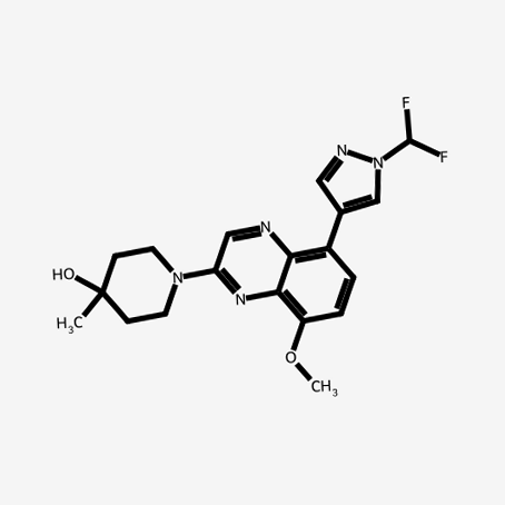 COc1ccc(-c2cnn(C(F)F)c2)c2ncc(N3CCC(C)(O)CC3)nc12